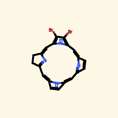 Brc1c(Br)c2cc3nc(cc4ccc(cc5nc(cc1[nH]2)C=C5)[nH]4)CC3